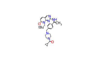 C[C@H](Nc1ncc2ccc(=O)n(CC(C)(C)C)c2n1)c1ccc(CN2CCN(C(=O)C3CC3)CC2)cc1